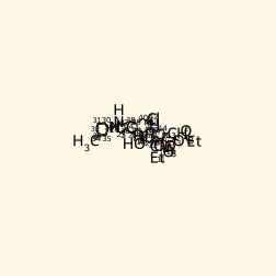 CCC(=O)OCC(=O)[C@@]1(OC(=O)CC)[C@H](C)C[C@H]2[C@H]3[C@H]([C@@H](O)C[C@@]21C)[C@@]1(C)CC2=CN(c4cccc(C)c4)NC2C=C1C[C@H]3Cl